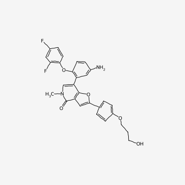 Cn1cc(-c2cc(N)ccc2Oc2ccc(F)cc2F)c2oc(-c3ccc(OCCCO)cc3)cc2c1=O